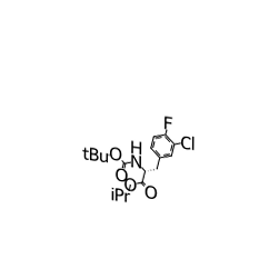 CC(C)OC(=O)[C@@H](Cc1ccc(F)c(Cl)c1)NC(=O)OC(C)(C)C